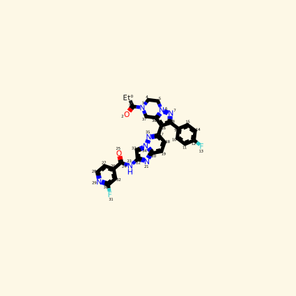 CCC(=O)N1CCn2nc(-c3ccc(F)cc3)c(-c3ccc4nc(NC(=O)c5ccnc(F)c5)cn4n3)c2C1